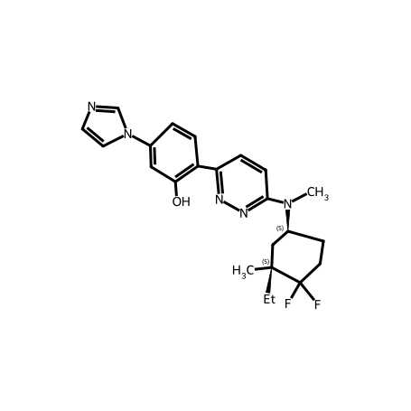 CC[C@@]1(C)C[C@@H](N(C)c2ccc(-c3ccc(-n4ccnc4)cc3O)nn2)CCC1(F)F